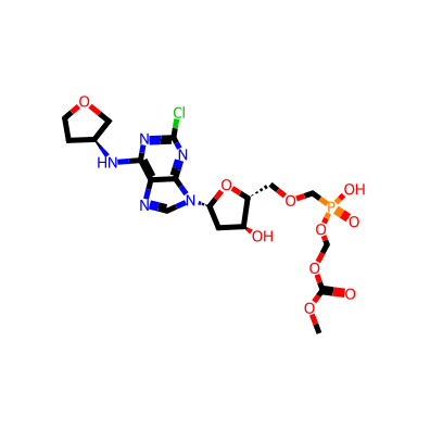 COC(=O)OCOP(=O)(O)COC[C@H]1O[C@@H](n2cnc3c(N[C@H]4CCOC4)nc(Cl)nc32)C[C@@H]1O